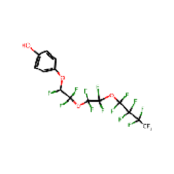 Oc1ccc(OC(F)C(F)(F)OC(F)(F)C(F)(F)OC(F)(F)C(F)(F)C(F)(F)C(F)(F)F)cc1